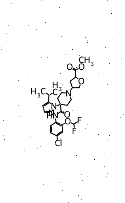 COC(=O)C1CC(N2CCC(C(=O)Nc3ccc(Cl)cc3OC(F)F)(n3nccc3C(C)C)CC2)CO1